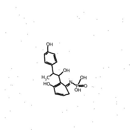 CC(c1ccc(O)cc1)C(O)C1=C(O)C=CCC1=NP(=O)(O)O